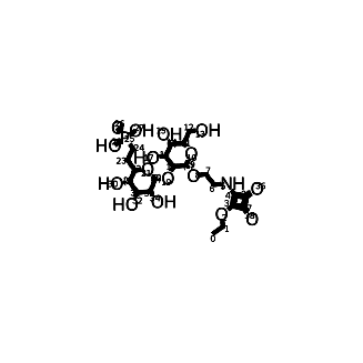 CCOc1c(NCCO[C@H]2OC(CO)[C@@H](O)C(O)C2O[C@H]2OC(CCP(=O)(O)O)[C@@H](O)C(O)C2O)c(=O)c1=O